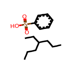 CCCC(CC)CCC.O=S(=O)(O)c1ccccc1